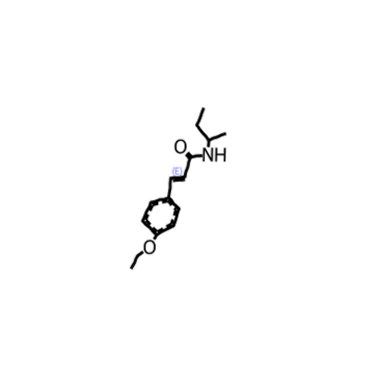 CCOc1ccc(/C=C/C(=O)NC(C)CC)cc1